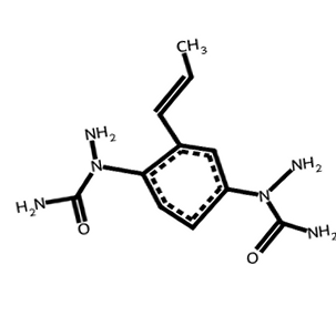 CC=Cc1cc(N(N)C(N)=O)ccc1N(N)C(N)=O